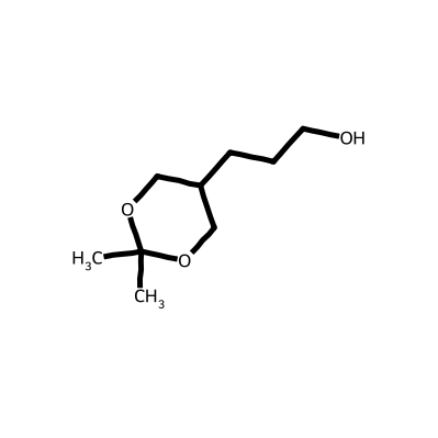 CC1(C)OCC(CCCO)CO1